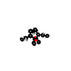 c1ccc(-c2ccc(-c3cc(-c4ccc(-c5ccccc5)nc4)cc(-c4cccc5c4oc4c(-c6cc(-c7ccc(-c8ccccc8)nc7)cc(-c7ccc(-c8ccccc8)nc7)c6)cccc45)c3)cn2)cc1